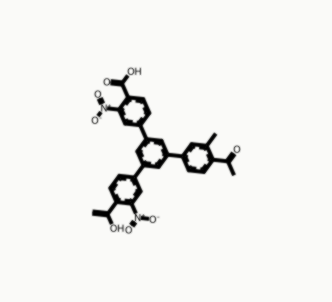 C=C(O)c1ccc(-c2cc(-c3ccc(C(C)=O)c(C)c3)cc(-c3ccc(C(=O)O)c([N+](=O)[O-])c3)c2)cc1[N+](=O)[O-]